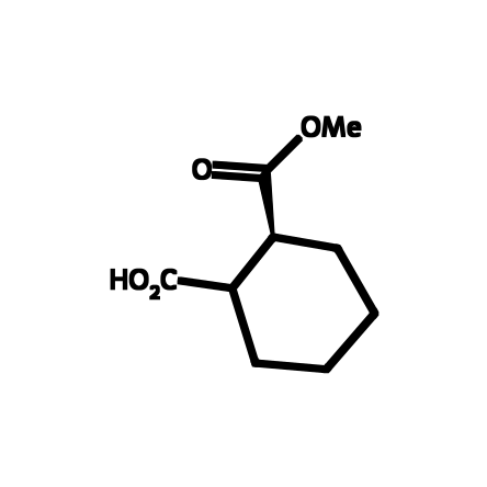 COC(=O)[C@H]1CCCCC1C(=O)O